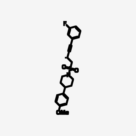 COc1ccc(C2CCN(S(=O)(=O)C[CH]C#Cc3cccc(F)c3)CC2)cc1